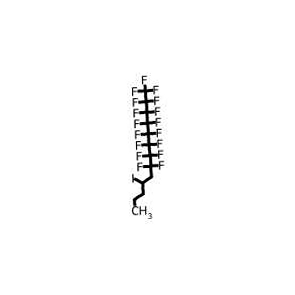 CCCC(I)CC(F)(F)C(F)(F)C(F)(F)C(F)(F)C(F)(F)C(F)(F)C(F)(F)C(F)(F)F